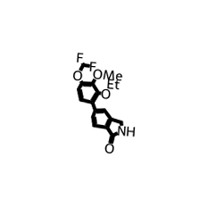 CCOc1c(-c2ccc3c(c2)CNC3=O)ccc(OC(F)F)c1OC